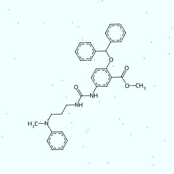 COC(=O)c1cc(NC(=O)NCCCN(C)c2ccccc2)ccc1OC(c1ccccc1)c1ccccc1